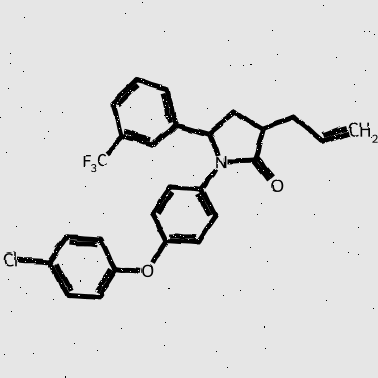 C=CCC1CC(c2cccc(C(F)(F)F)c2)N(c2ccc(Oc3ccc(Cl)cc3)cc2)C1=O